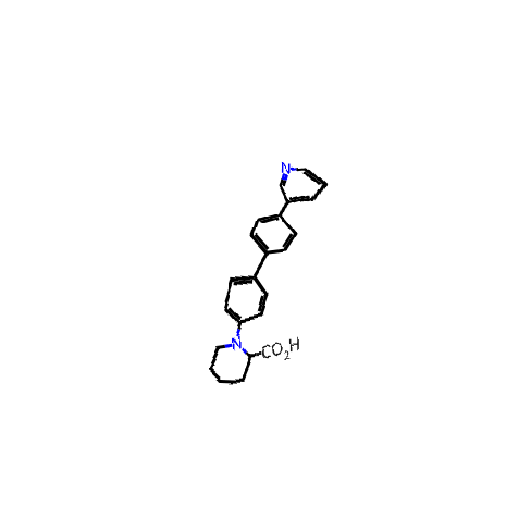 O=C(O)C1CCCCN1c1ccc(-c2ccc(-c3cccnc3)cc2)cc1